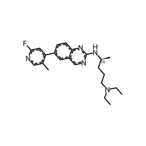 CCN(CC)CCC[C@H](C)Nc1ncc2cc(-c3cc(F)ncc3C)ccc2n1